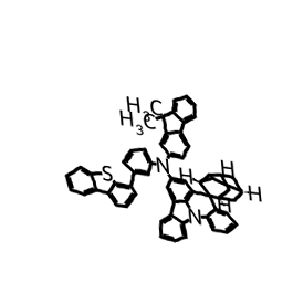 CC1(C)c2ccccc2-c2ccc(N(c3cccc(-c4cccc5c4sc4ccccc45)c3)c3cc4c5c(c3)c3ccccc3n5-c3ccccc3C43[C@H]4C[C@H]5C[C@H](C[C@H]3C5)C4)cc21